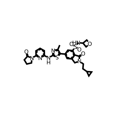 Cc1nc(Nc2cccc(N3CCCC3=O)n2)sc1-c1cc2c(c(S(=O)(=O)NC3COC3)c1)C(=O)N(CCC1CC1)C2